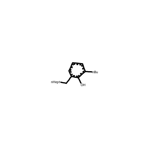 CCCCCCCCc1cccc(CCCC)c1O